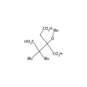 CCC(C)OC(CC(=O)O)(C(=O)O)C(C(=O)O)(C(C)CC)C(C)CC